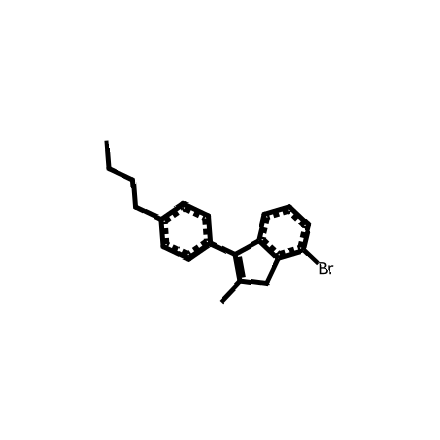 CCCCc1ccc(C2=C(C)Cc3c(Br)cccc32)cc1